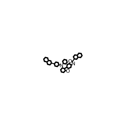 c1ccc(N(c2ccc(-c3ccc4ccccc4c3)cc2)c2cccc3oc4cc5nc(-c6ccc7ccccc7c6)oc5cc4c23)cc1